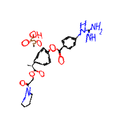 CS(=O)(=O)O.C[C@H](C(=O)OCC(=O)N1CCCC1)c1ccc(OC(=O)c2ccc(NC(=N)N)cc2)cc1